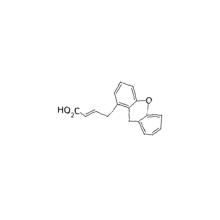 O=C(O)/C=C/Cc1cccc2c1Cc1ccccc1O2